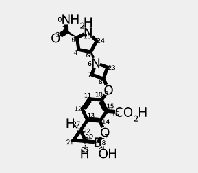 NC(=O)[C@@H]1C[C@H](N2CC(Oc3ccc4c(c3C(=O)O)OB(O)[C@H]3C[C@@H]43)C2)CN1